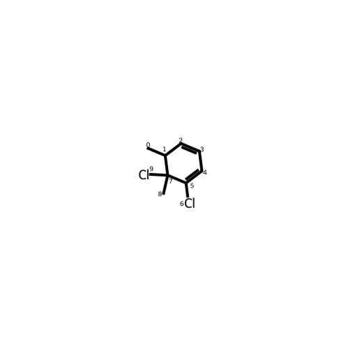 CC1C=CC=C(Cl)C1(C)Cl